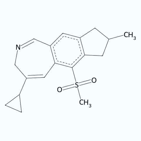 CC1Cc2cc3c(c(S(C)(=O)=O)c2C1)C=C(C1CC1)CN=C3